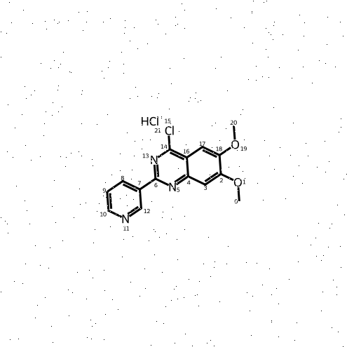 COc1cc2nc(-c3cccnc3)nc(Cl)c2cc1OC.Cl